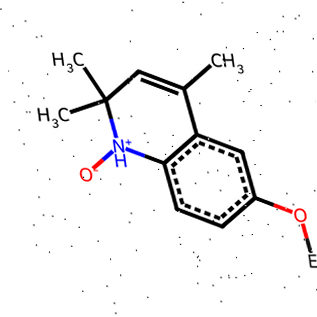 CCOc1ccc2c(c1)C(C)=CC(C)(C)[NH+]2[O-]